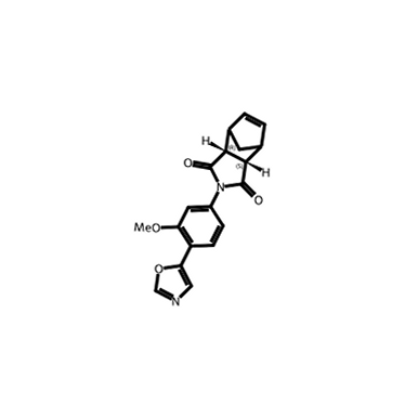 COc1cc(N2C(=O)[C@@H]3C4C=CC(C4)[C@@H]3C2=O)ccc1-c1cnco1